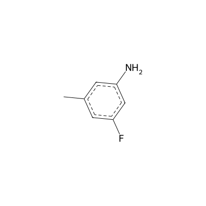 Cc1cc(N)cc(F)c1